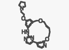 C1=C/COCc2cc(cc(OCCN3CCCC3)c2)Nc2nccc(n2)-c2ccnc(c2)OCC/1